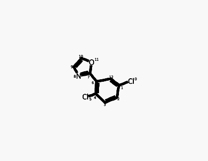 Clc1ccc(Cl)c(-c2n[c]co2)c1